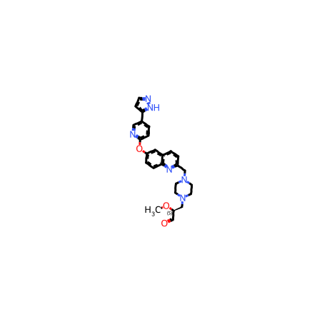 CO[C@H](C=O)CN1CCN(Cc2ccc3cc(Oc4ccc(-c5ccn[nH]5)cn4)ccc3n2)CC1